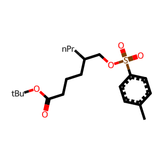 CCCC(CCCC(=O)OC(C)(C)C)COS(=O)(=O)c1ccc(C)cc1